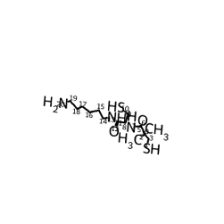 CC(C)(CS)C(=O)NC(CS)C(=O)NCCCCCCN